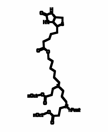 CCCCCCCCOC(=O)CCN(CCCCC)CCCN(CCCCCCOC(=O)CCCCC1SCC2NC(=O)NC21)CCC(=O)OCCCCCCCC